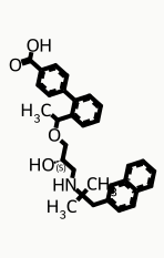 CC(OC[C@@H](O)CNC(C)(C)Cc1ccc2ccccc2c1)c1ccccc1-c1ccc(C(=O)O)cc1